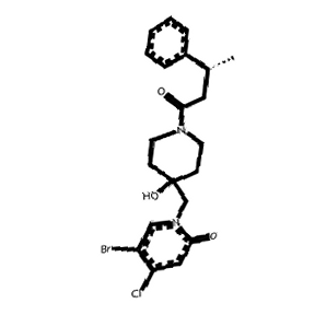 C[C@H](CC(=O)N1CCC(O)(Cn2cc(Br)c(Cl)cc2=O)CC1)c1ccccc1